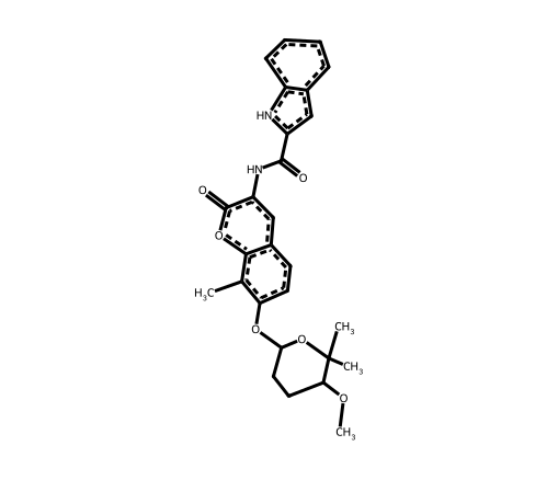 COC1CCC(Oc2ccc3cc(NC(=O)c4cc5ccccc5[nH]4)c(=O)oc3c2C)OC1(C)C